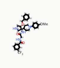 COc1ccc(N2CCC([C@@]3(NC(=O)CNC(=O)c4cccc(C(F)(F)F)c4)CNC[C@H]3OCc3ccccc3)CC2)cc1